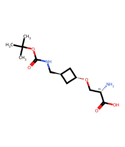 CC(C)(C)OC(=O)NC[C@H]1C[C@H](OC[C@H](N)C(=O)O)C1